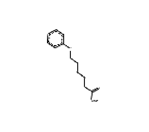 COC(=O)CCCCCOc1ccccc1